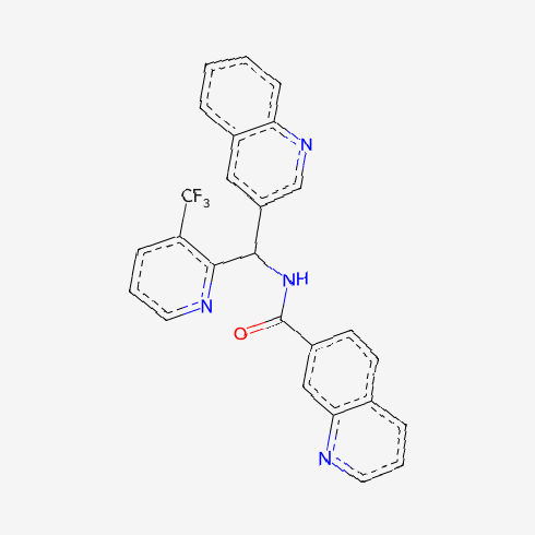 O=C(NC(c1cnc2ccccc2c1)c1ncccc1C(F)(F)F)c1ccc2cccnc2c1